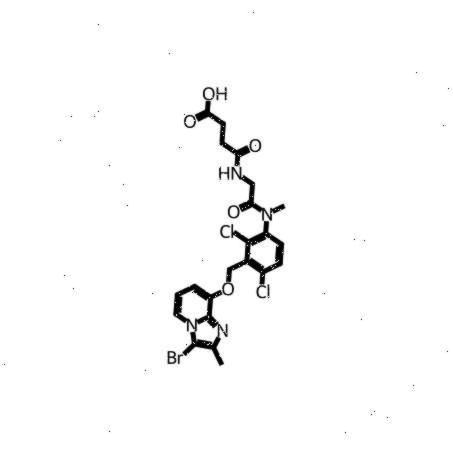 Cc1nc2c(OCc3c(Cl)ccc(N(C)C(=O)CNC(=O)CCC(=O)O)c3Cl)cccn2c1Br